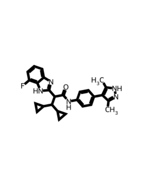 Cc1n[nH]c(C)c1-c1ccc(NC(=O)C(c2nc3cccc(F)c3[nH]2)C(C2CC2)C2CC2)cc1